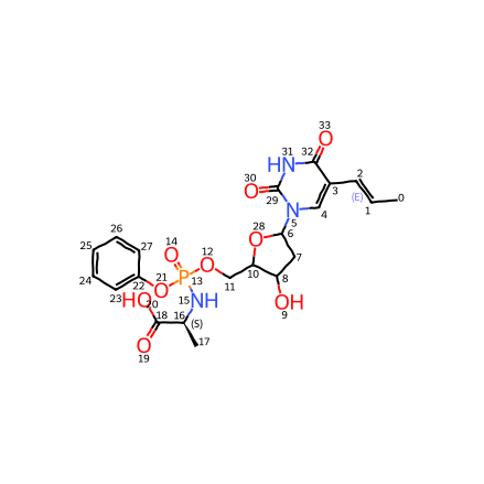 C/C=C/c1cn(C2CC(O)C(COP(=O)(N[C@@H](C)C(=O)O)Oc3ccccc3)O2)c(=O)[nH]c1=O